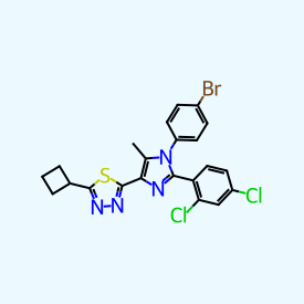 Cc1c(-c2nnc(C3CCC3)s2)nc(-c2ccc(Cl)cc2Cl)n1-c1ccc(Br)cc1